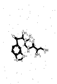 CC(C(=O)c1ccc2c(c1)OCO2)N(C)CNC(=O)C(N)CO